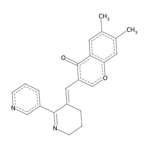 Cc1cc2occ(/C=C3\CCCN=C3c3cccnc3)c(=O)c2cc1C